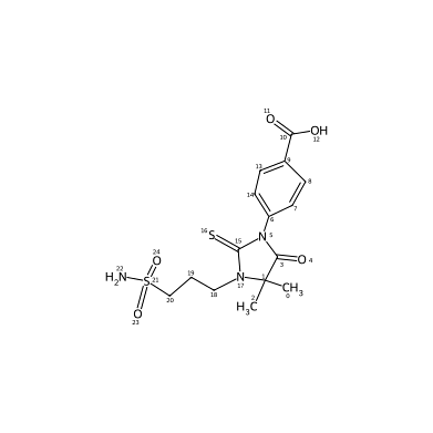 CC1(C)C(=O)N(c2ccc(C(=O)O)cc2)C(=S)N1CCCS(N)(=O)=O